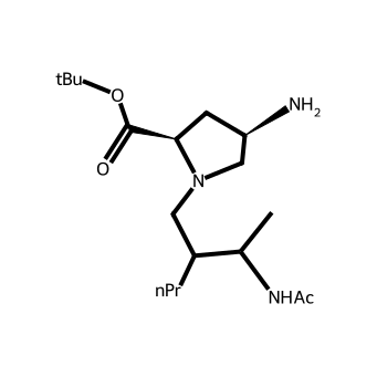 CCCC(CN1C[C@H](N)C[C@@H]1C(=O)OC(C)(C)C)C(C)NC(C)=O